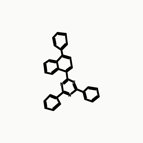 c1ccc(-c2nc(-c3ccccc3)nc(-c3ccc(-c4ccccc4)c4ccccc34)n2)cc1